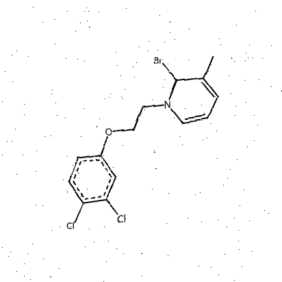 CC1=CC=CN(CCOc2ccc(Cl)c(Cl)c2)C1Br